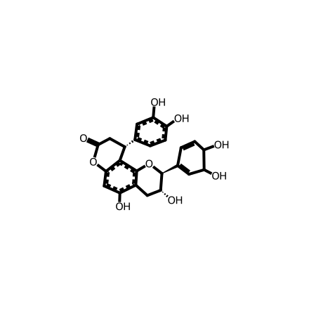 O=C1C[C@H](c2ccc(O)c(O)c2)c2c(cc(O)c3c2O[C@@H](C2=CC(O)C(O)C=C2)[C@H](O)C3)O1